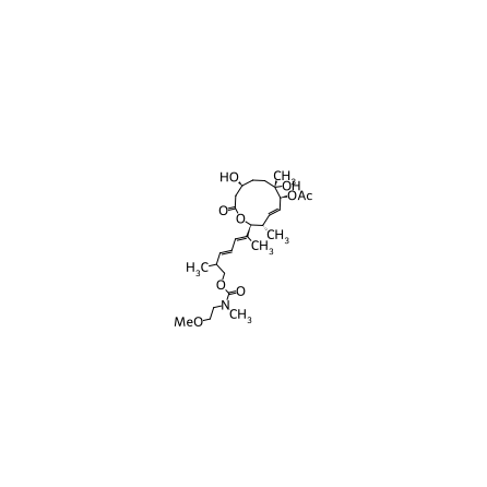 COCCN(C)C(=O)OCC(C)/C=C/C=C(\C)[C@H]1OC(=O)C[C@@H](O)CC[C@](C)(O)[C@@H](OC(C)=O)/C=C/[C@@H]1C